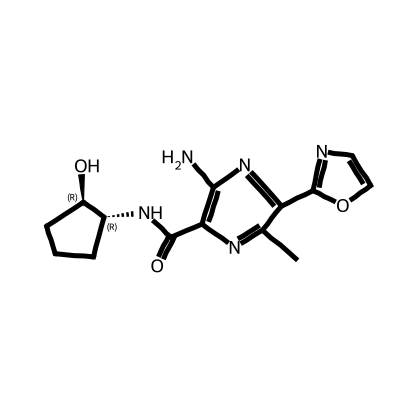 Cc1nc(C(=O)N[C@@H]2CCC[C@H]2O)c(N)nc1-c1ncco1